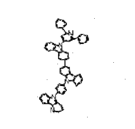 c1ccc(-c2cc(-n3c4ccccc4c4cc(-c5ccc6c(c5)c5ccccc5n6-c5ccc(-n6c7ccccc7c7ncccc76)cc5)ccc43)cc(-c3ccccc3)n2)cc1